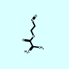 C=C(C)C(=O)OCCN=O